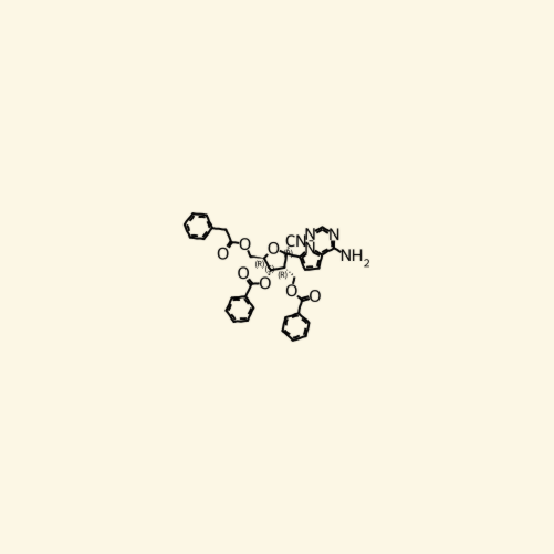 N#C[C@@]1(c2ccc3c(N)ncnn23)O[C@H](COC(=O)Cc2ccccc2)[C@@H](OC(=O)c2ccccc2)[C@H]1COC(=O)c1ccccc1